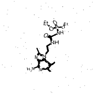 CCOP(=O)(NC(=O)NCCn1c(C)nc2c(N)nc(C)c(C)c21)OCC